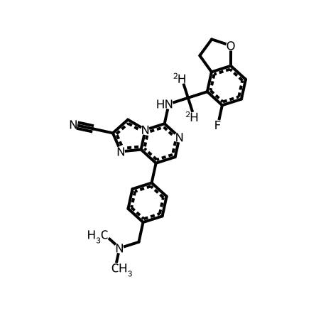 [2H]C([2H])(Nc1ncc(-c2ccc(CN(C)C)cc2)c2nc(C#N)cn12)c1c(F)ccc2c1CCO2